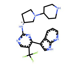 FC(F)(F)c1cnc(N[C@@H]2CCN(C3CCNCC3)C2)nc1-c1c[nH]c2ncccc12